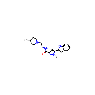 CC(C)C1CCN(CCNC(=O)c2cc(-c3cc4ccccc4[nH]3)n(C)n2)CC1